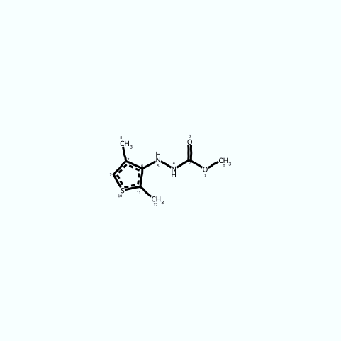 COC(=O)NNc1c(C)csc1C